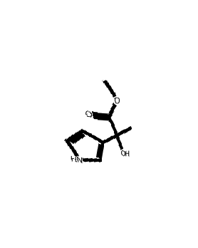 COC(=O)C(C)(O)c1cc[nH]c1